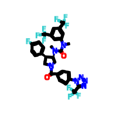 CN(C(=O)N(C)[C@@H]1CN(C(=O)c2ccc(-n3nnnc3C(F)(F)F)cc2)C[C@H]1c1ccc(F)cc1)c1cc(C(F)(F)F)cc(C(F)(F)F)c1